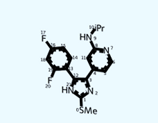 CSc1nc(-c2ccnc(NC(C)C)c2)c(-c2ccc(F)cc2F)[nH]1